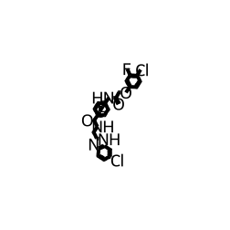 O=C(COc1ccc(Cl)c(F)c1)NC12CCC(C(=O)NCc3nc4ccc(Cl)cc4[nH]3)(CC1)CC2